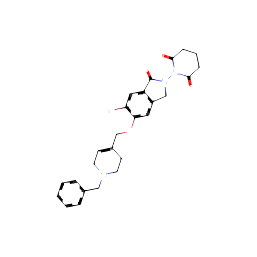 O=C1c2cc(Br)c(OCC3=CCN(Cc4ccccc4)CC3)cc2CN1N1C(=O)CCCC1=O